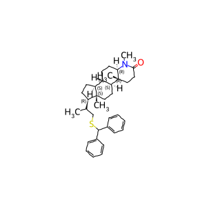 CC(CSC(c1ccccc1)c1ccccc1)[C@H]1CC[C@H]2[C@@H]3CC[C@H]4N(C)C(=O)CC[C@]4(C)[C@H]3CC[C@]12C